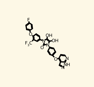 O=c1n(-c2ccc(Oc3ccnc4[nH]ncc34)cc2)c(O)c(O)n1-c1ccc(Oc2ccc(F)cc2)c(C(F)(F)F)c1